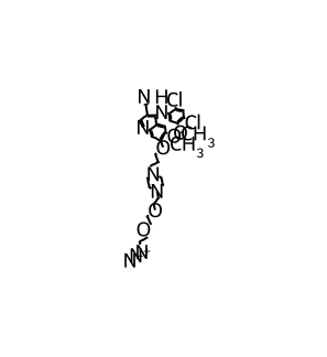 COc1cc(Nc2c(C#N)cnc3cc(OCCCN4CCN(CCOCCOCCN=[N+]=[N-])CC4)c(OC)cc23)c(Cl)cc1Cl